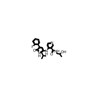 CC(O)CNC(=O)c1cnccc1Nc1cc(-c2ccccc2F)c(=O)[nH]c1C(C)C